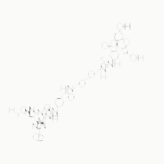 Cn1cc2c(nc(NC(=O)Nc3ccc(CC(=O)NCCOCCOCCNC(=S)Nc4ccc5c(c4)C(=O)OC54c5ccc(O)cc5Oc5cc(O)ccc54)cc3)n3nc(-c4ccco4)nc23)n1